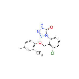 Cc1ccc(OCc2c(Cl)cccc2-n2nn[nH]c2=O)c(C(F)(F)F)c1